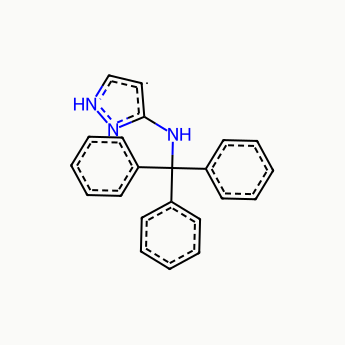 [c]1c[nH]nc1NC(c1ccccc1)(c1ccccc1)c1ccccc1